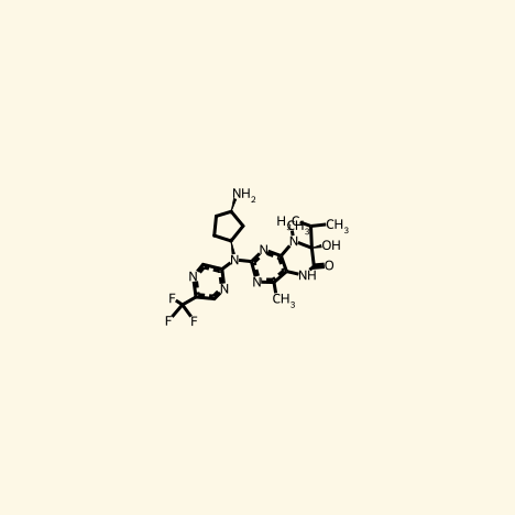 Cc1nc(N(c2cnc(C(F)(F)F)cn2)[C@H]2CC[C@@H](N)C2)nc2c1NC(=O)[C@@](O)(C(C)C)N2C